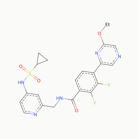 CCOc1cncc(-c2ccc(C(=O)NCc3cc(NS(=O)(=O)C4CC4)ccn3)c(F)c2F)n1